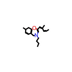 C/C=C\C(C)=C/C1=CN(CCCC)CC2=C(CC(C)C=C2)O1